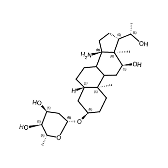 C[C@H](O)[C@H]1CC[C@@]2(N)C3CC[C@H]4C[C@H](O[C@H]5C[C@H](O)[C@H](O)[C@@H](C)O5)CC[C@]4(C)C3C[C@H](O)[C@]12C